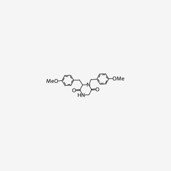 COc1ccc(CC2C(=O)NCC(=O)N2Cc2ccc(OC)cc2)cc1